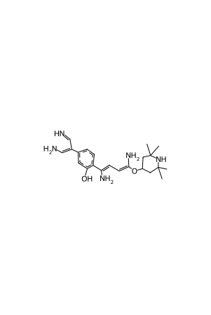 CC1(C)CC(O/C(N)=C/C=C(\N)c2ccc(/C(C=N)=C/N)cc2O)CC(C)(C)N1